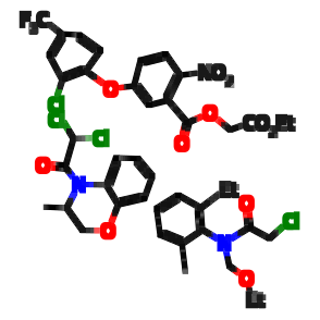 CC1COc2ccccc2N1C(=O)C(Cl)Cl.CCOC(=O)COC(=O)c1cc(Oc2ccc(C(F)(F)F)cc2Cl)ccc1[N+](=O)[O-].CCOCN(C(=O)CCl)c1c(C)cccc1CC